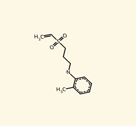 C=CS(=O)(=O)CCC[N]c1ccccc1C